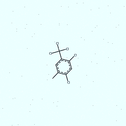 Cc1cc(C(Cl)(Cl)Cl)c(Cl)cc1Cl